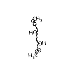 CCOC(=O)CCC[C@H](O)C#C/C=C/C=C/[C@H](O)CC#Cc1ccc(OC)cc1